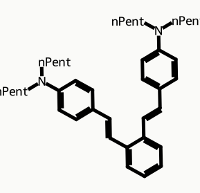 CCCCCN(CCCCC)c1ccc(/C=C/c2ccccc2/C=C/c2ccc(N(CCCCC)CCCCC)cc2)cc1